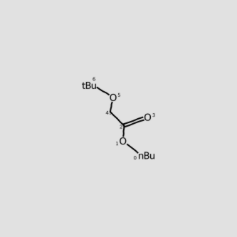 CCCCOC(=O)[CH]OC(C)(C)C